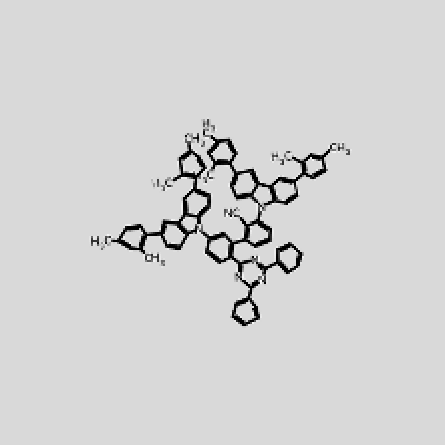 Cc1ccc(-c2ccc3c(c2)c2cc(-c4ccc(C)cc4C)ccc2n3-c2ccc(-c3nc(-c4ccccc4)nc(-c4ccccc4)n3)c(-c3cccc(-n4c5ccc(-c6ccc(C)cc6C)cc5c5cc(-c6ccc(C)cc6C)ccc54)c3C#N)c2)c(C)c1